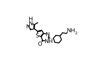 Cc1[nH]ncc1-c1cc2nc([C@H]3CCCC(CCN)C3)[nH]c(=O)c2s1